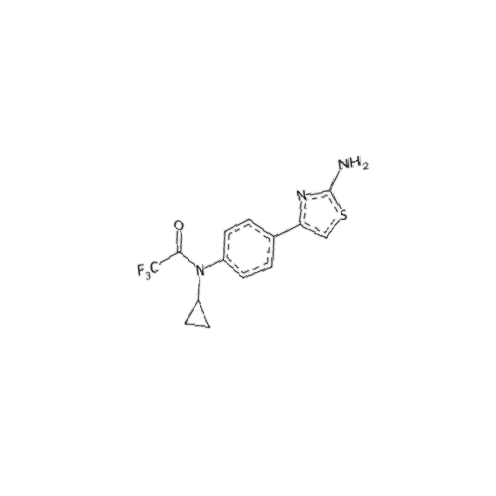 Nc1nc(-c2ccc(N(C(=O)C(F)(F)F)C3CC3)cc2)cs1